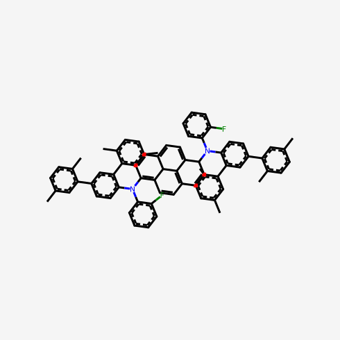 Cc1ccc(C)c(-c2ccc(N(C3=C4C=CC5=C6C(=CC=C(C=C3)C46)C(N(c3ccccc3F)c3ccc(-c4cc(C)ccc4C)cc3-c3cc(C)ccc3C)C=C5)c3ccccc3F)c(-c3cc(C)ccc3C)c2)c1